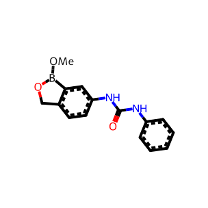 COB1OCc2ccc(NC(=O)Nc3ccccc3)cc21